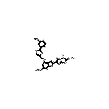 COc1cc(OCc2csc(-c3cccc(C#N)c3)n2)c2cc(-c3cn4c(n3)SC(OC)N4)oc2c1